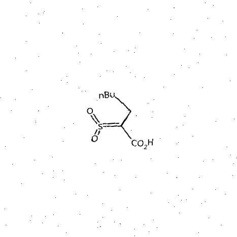 CCCCCC(C(=O)O)=S(=O)=O